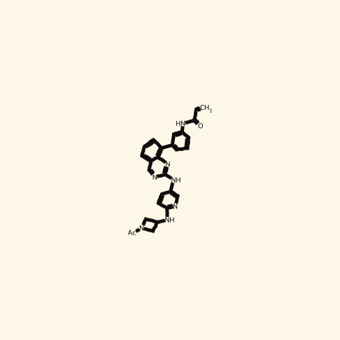 C=CC(=O)Nc1cccc(-c2cccc3cnc(Nc4ccc(NC5CN(C(C)=O)C5)nc4)nc23)c1